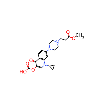 COC(=O)CCN1CCN(c2ccc3c(=O)c(OC(=O)O)cn(C4CC4)c3c2)CC1